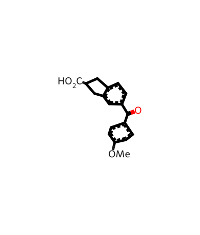 COc1ccc(C(=O)c2ccc3c(c2)CC(C(=O)O)C3)cc1